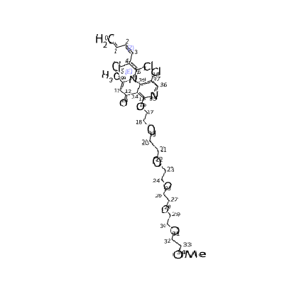 C=C/C=C\C(Cl)=C(/Cl)n1c(C)cc(=O)c2c(OCCOCCOCCOCCOCCOCCOC)ncc(Cl)c21